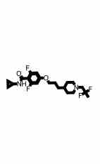 CC(F)(F)CN1CCC(CCCOc2cc(F)c(C(=O)NC3CC3)c(F)c2)CC1